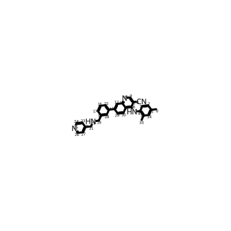 Cc1ccc(Nc2c(C#N)cnc3cc(-c4cccc(CNCc5ccncc5)c4)ccc23)c(C)c1